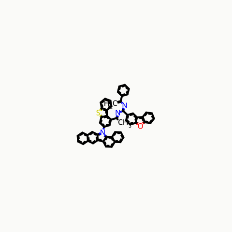 C=C(/N=C(\N=C(/C)c1cc(-n2c3cc4ccccc4cc3c3ccc4ccccc4c32)cc2sc3ccccc3c12)c1ccc2oc3ccccc3c2c1)c1ccccc1